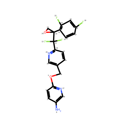 Nc1ccc(OCc2ccc(C(F)(F)C3(c4ccc(F)cc4F)CO3)nc2)nc1